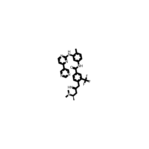 Cc1ccc(NC(=O)c2ccc(CC(=N)C[C@@H](C)N(C)C)c(C(F)(F)F)c2)cc1Nc1nccc(-c2cncnc2)n1